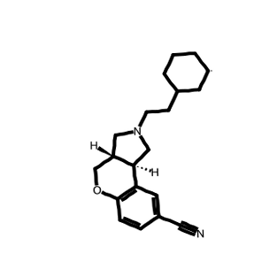 N#Cc1ccc2c(c1)[C@@H]1CN(CCC3C[CH]CCC3)C[C@H]1CO2